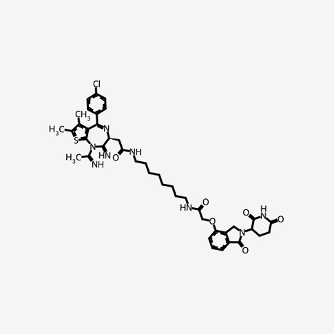 CC(=N)N1C(=N)[C@H](CC(=O)NCCCCCCCCNC(=O)COc2cccc3c2CN(C2CCC(=O)NC2=O)C3=O)N=C(c2ccc(Cl)cc2)c2c1sc(C)c2C